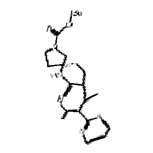 CC1=C(c2ncccn2)C(C)C2CC[C@@]3(CCN(C(=O)OC(C)(C)C)C3)NC2=N1